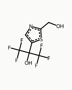 OCc1ncc(C(O)(C(F)(F)F)C(F)(F)F)s1